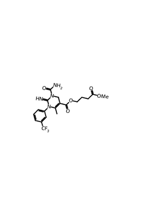 COC(=O)CCCOC(=O)C1=C(C)N(c2cccc(C(F)(F)F)c2)C(=N)N(C(N)=O)C1